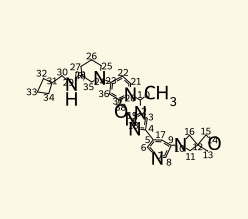 CC(n1cc(-c2cncc(N3CC4(COC4)C3)c2)nn1)n1ccc(N2CCC[C@@H](NCC3CCC3)C2)cc1=O